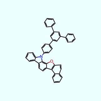 c1ccc(-c2cc(-c3ccccc3)cc(-c3ccc(-n4c5ccccc5c5ccc6c(oc7ccc8ccccc8c76)c54)cc3)c2)cc1